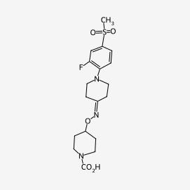 CS(=O)(=O)c1ccc(N2CCC(=NOC3CCN(C(=O)O)CC3)CC2)c(F)c1